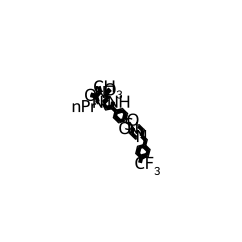 CCCn1c(=O)n(C)c(=O)c2[nH]c(-c3ccc(S(=O)(=O)N4CCN(Cc5ccc(C(F)(F)F)cc5)CC4)cc3)cc21